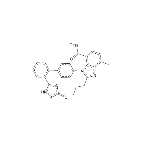 CCCc1nc2c(C)ccc(C(=O)OC)c2n1-c1ccc(-c2ccccc2-c2nc(=O)s[nH]2)cc1